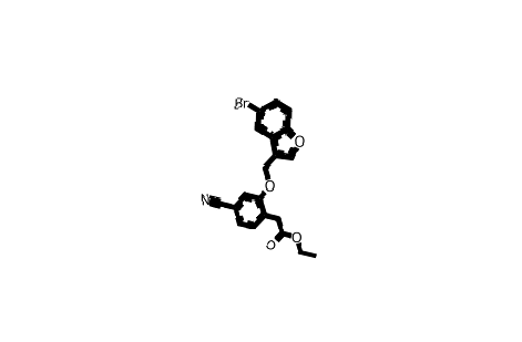 CCOC(=O)Cc1ccc(C#N)cc1OCc1coc2ccc(Br)cc12